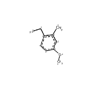 Cc1cc(OC(F)(F)F)ccc1CI